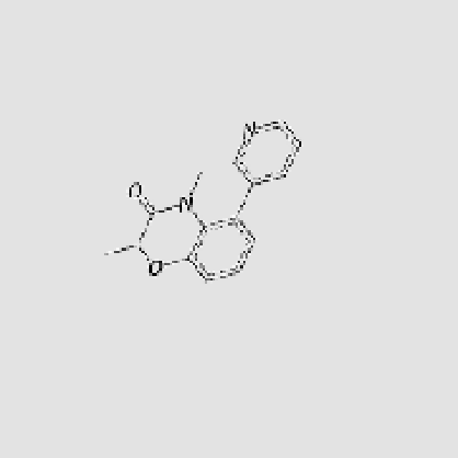 CC1Oc2cccc(-c3cccnc3)c2N(C)C1=O